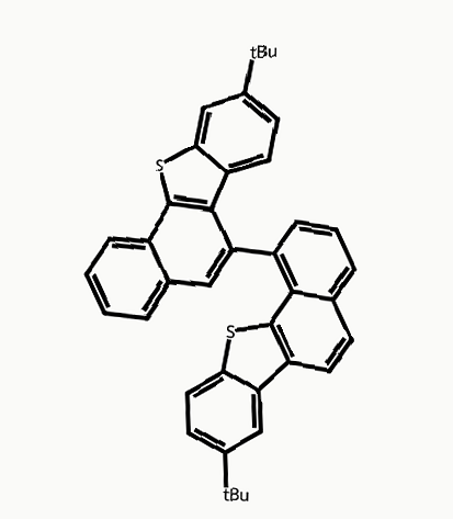 CC(C)(C)c1ccc2c(c1)sc1c3ccccc3cc(-c3cccc4ccc5c6cc(C(C)(C)C)ccc6sc5c34)c21